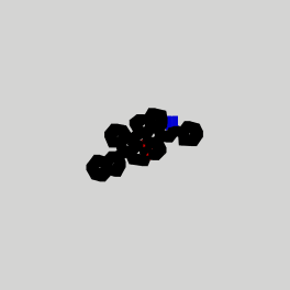 c1ccc(-c2cc(-c3ccccc3)c3c(ccc4ccc(-c5c6ccccc6c(-c6ccc7ccccc7c6)c6ccccc56)cc43)n2)cc1